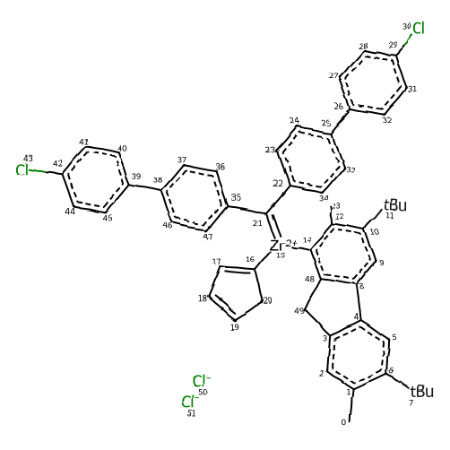 Cc1cc2c(cc1C(C)(C)C)-c1cc(C(C)(C)C)c(C)[c]([Zr+2]([C]3=CC=CC3)=[C](c3ccc(-c4ccc(Cl)cc4)cc3)c3ccc(-c4ccc(Cl)cc4)cc3)c1C2.[Cl-].[Cl-]